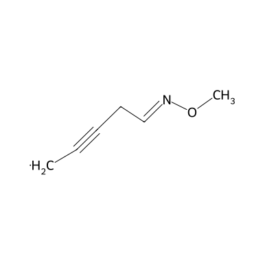 [CH2]C#CCC=NOC